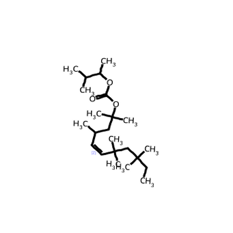 CCC(C)(C)CC(C)(C)/C=C\C(C)CC(C)(C)OC(=O)OC(C)C(C)C